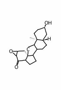 C[C@]12CC[C@@H](O)C[C@@H]1CCC1C3CCC4C(=O)C5OC5C[C@@]43CCC12